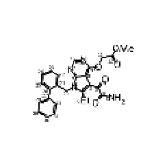 CCc1c(C(=O)C(N)=O)c2c(OCC(=O)OC)ncnc2n1Cc1ccccc1-c1ccccc1